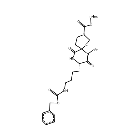 CCCCCCOC(=O)N1CCC2(CC1)C(=O)N[C@@H](CCCCNC(=O)OCc1ccccc1)C(=O)N2CCC